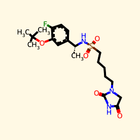 C[C@@H](NS(=O)(=O)CCCCCN1CC(=O)NC1=O)c1ccc(F)c(OC(C)(C)C)c1